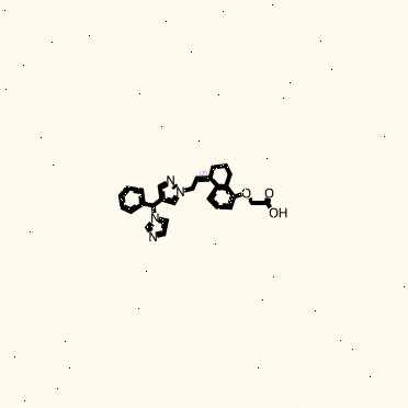 O=C(O)COc1cccc2c1CCC/C2=C/Cn1cc(C(c2ccccc2)n2ccnc2)cn1